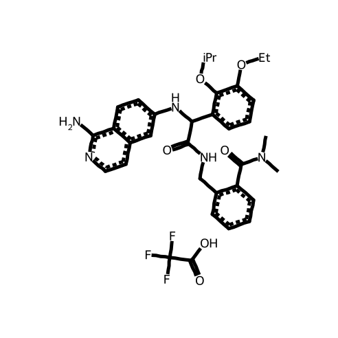 CCOc1cccc(C(Nc2ccc3c(N)nccc3c2)C(=O)NCc2ccccc2C(=O)N(C)C)c1OC(C)C.O=C(O)C(F)(F)F